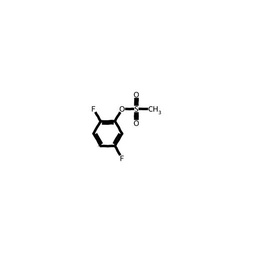 CS(=O)(=O)Oc1cc(F)[c]cc1F